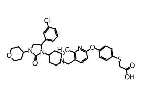 Cc1nc(Oc2ccc(SCC(=O)O)cc2)ccc1CN1CCC(N2C(=O)N(C3CCOCC3)CC2c2cccc(Cl)c2)CC1